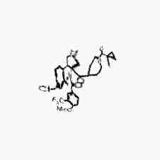 COc1ccc(C(=O)N(C)[C@@]2(C(=O)C3CCN(C(=O)C4(C)CC4)CC3)CNC[C@@H]2c2ccc(Cl)cc2C)cc1C(F)(F)F